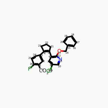 O=C(O)c1cc(C2=C(c3cc(Cl)cnc3OCc3ccccc3)CCC2)ccc1F